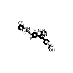 Nc1ncnn2c(C3CCN(C(=O)CO)CC3)cc(-c3ccc(N=NC(=O)Nc4cc(C(F)(F)F)ccn4)c(F)c3)c12